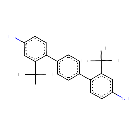 CC(C)(C)c1cc(N)ccc1-c1ccc(-c2ccc(N)cc2C(C)(C)C)cc1